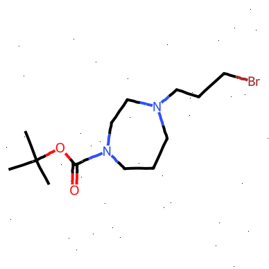 CC(C)(C)OC(=O)N1CCCN(CCCBr)CC1